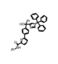 CC(C)NC(=O)c1cccc(-c2ccc(C(O)(c3cn(C(c4ccccc4)(c4ccccc4)c4ccccc4)cn3)C(C)C)cc2)n1